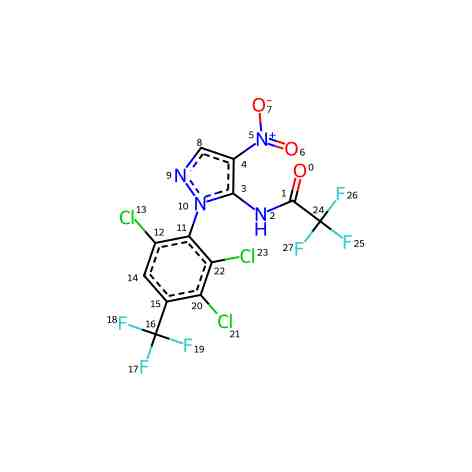 O=C(Nc1c([N+](=O)[O-])cnn1-c1c(Cl)cc(C(F)(F)F)c(Cl)c1Cl)C(F)(F)F